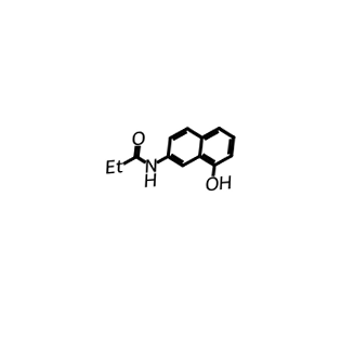 CCC(=O)Nc1ccc2cccc(O)c2c1